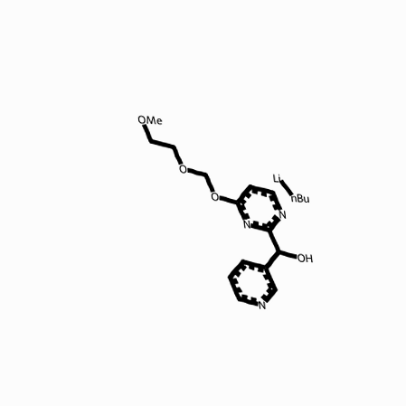 COCCOCOc1ccnc(C(O)c2cccnc2)n1.[Li][CH2]CCC